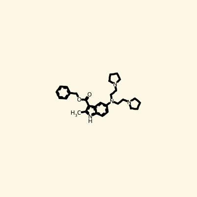 Cc1[nH]c2ccc(N(CCN3CCCC3)CCN3CCCC3)cc2c1C(=O)OCc1ccccc1